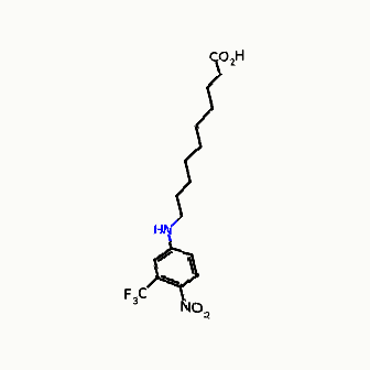 O=C(O)CCCCCCCCCNc1ccc([N+](=O)[O-])c(C(F)(F)F)c1